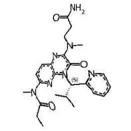 CCC(=O)N(C)c1ccc2nc(N(C)CCC(N)=O)c(=O)n([C@H](c3ccccn3)C(C)C)c2n1